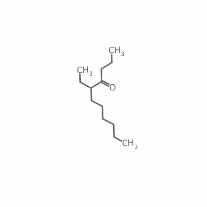 CCCCCCC(CC)C(=O)CCC